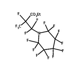 CCOC(=O)C(F)(C(F)(F)F)C(F)(F)N1C(F)(F)C(F)(F)C(F)(F)C(F)(F)C1(F)F